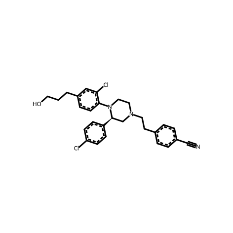 N#Cc1ccc(CCN2CCN(c3ccc(CCCO)cc3Cl)[C@H](c3ccc(Cl)cc3)C2)cc1